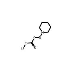 CCOC(=S)SSN1CCCCC1